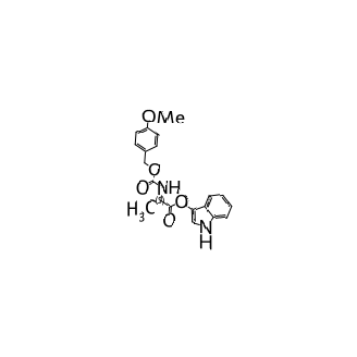 COc1ccc(COC(=O)N[C@@H](C)C(=O)Oc2c[nH]c3ccccc23)cc1